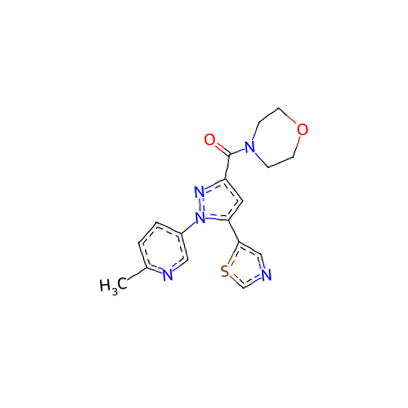 Cc1ccc(-n2nc(C(=O)N3CCOCC3)cc2-c2cncs2)cn1